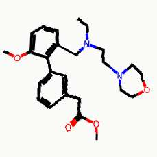 CCN(CCN1CCOCC1)Cc1cccc(OC)c1-c1cccc(CC(=O)OC)c1